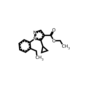 CCOC(=O)c1cnn(-c2ccccc2CC)c1C1CC1